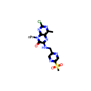 CCCn1c(=O)c(NCc2cnc(S(C)(=O)=O)cn2)nc2c(C)nc(Cl)nc21